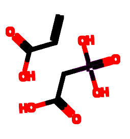 C=CC(=O)O.O=C(O)CP(=O)(O)O